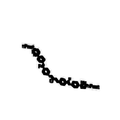 CCCCCc1ccc([C@H]2CC[C@H](CC(F)C3CCC(CCC(=O)CC[C@H]4CC[C@H](C(F)C[C@H]5CC[C@H](c6ccc(CCCCC)nn6)CC5)CC4)CC3)CC2)nn1